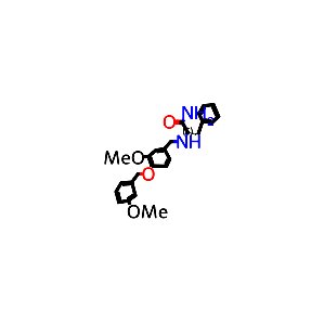 COc1cccc(COc2ccc(CN[C@@H](Cc3ccccc3)C(N)=O)cc2OC)c1